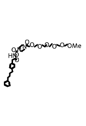 COCCOCCOCCOCCOCCOCC(=O)N1CCN(C(=O)ONC(=O)Cc2ccc(CCCCc3ccccc3)cc2)CC1